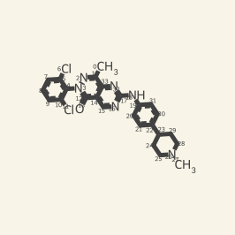 Cc1nn(-c2c(Cl)cccc2Cl)c(=O)c2cnc(Nc3ccc(C4CCN(C)CC4)cc3)nc12